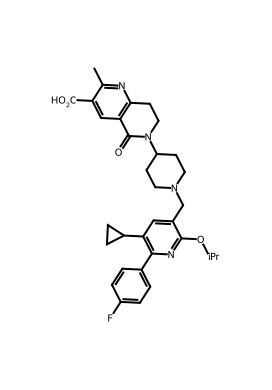 Cc1nc2c(cc1C(=O)O)C(=O)N(C1CCN(Cc3cc(C4CC4)c(-c4ccc(F)cc4)nc3OC(C)C)CC1)CC2